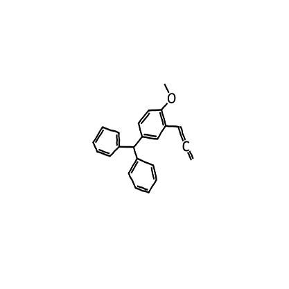 C=C=Cc1cc(C(c2ccccc2)c2ccccc2)ccc1OC